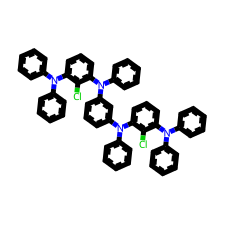 Clc1c(N(c2ccccc2)c2ccccc2)cccc1N(c1ccccc1)c1cccc(N(c2ccccc2)c2cccc(N(c3ccccc3)c3ccccc3)c2Cl)c1